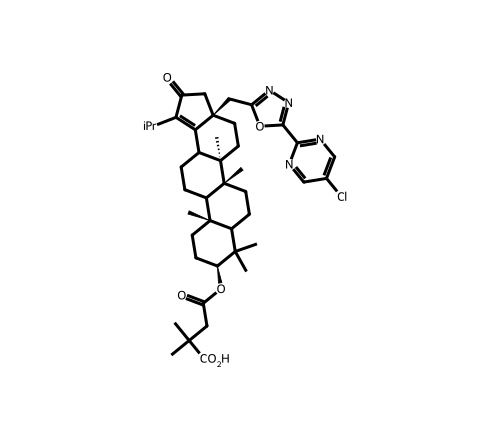 CC(C)C1=C2C3CCC4[C@@]5(C)CC[C@H](OC(=O)CC(C)(C)C(=O)O)C(C)(C)C5CC[C@@]4(C)[C@]3(C)CC[C@@]2(Cc2nnc(-c3ncc(Cl)cn3)o2)CC1=O